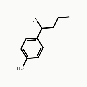 CCCC(N)c1ccc(O)cc1